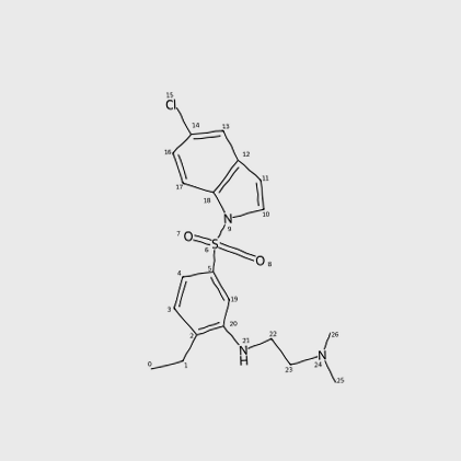 CCc1ccc(S(=O)(=O)n2ccc3cc(Cl)ccc32)cc1NCCN(C)C